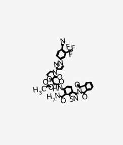 CC(=O)O[C@@H](C(=O)Nc1ccc2c(N3C(=O)c4ccccc4C3=O)nsc2c1C(N)=O)[C@H]1OCCN(c2ccn(-c3ccc(C#N)c(C(F)(F)F)c3)n2)C1=O